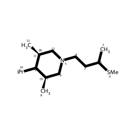 CSC(C)CCN1C[C@@H](C)C(C(C)C)[C@@H](C)C1